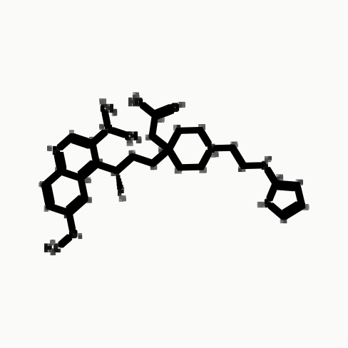 COc1ccc2ncc(N(C)C)c([C@@H](F)CCC3(CC(=O)O)CCN(CCSc4cccs4)CC3)c2c1